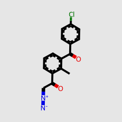 Cc1c(C(=O)C=[N+]=[N-])cccc1C(=O)c1ccc(Cl)cc1